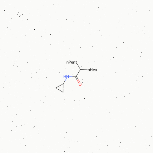 CCCCCCC(CCCCC)C(=O)NC1CC1